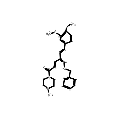 COc1ccc(/C=C/C(/C=C/C(=O)N2CCN(C)CC2)=NOCc2ccccc2)cc1OC